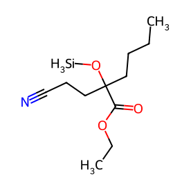 CCCCC(CCC#N)(O[SiH3])C(=O)OCC